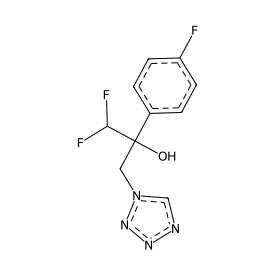 OC(Cn1cnnn1)(c1ccc(F)cc1)C(F)F